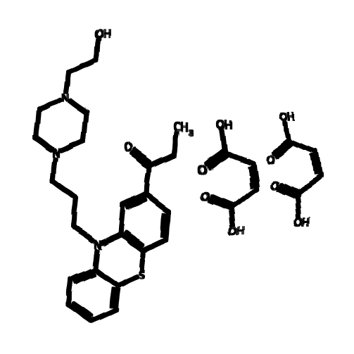 CCC(=O)c1ccc2c(c1)N(CCCN1CCN(CCO)CC1)c1ccccc1S2.O=C(O)/C=C\C(=O)O.O=C(O)/C=C\C(=O)O